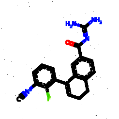 [C-]#[N+]c1cccc(C2=CCCc3ccc(C(=O)N=C(N)N)cc32)c1F